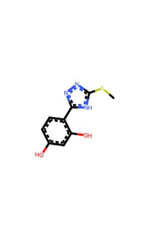 CSc1nnc(-c2ccc(O)cc2O)[nH]1